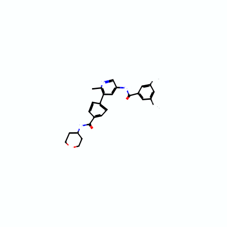 Cc1ncc(NC(=O)c2cc(C#N)cc(C(C)(C)C)c2)cc1-c1ccc(C(=O)NC2CCOCC2)cc1